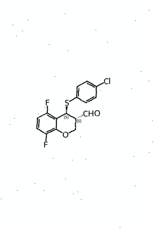 O=C[C@@H]1COc2c(F)ccc(F)c2[C@H]1Sc1ccc(Cl)cc1